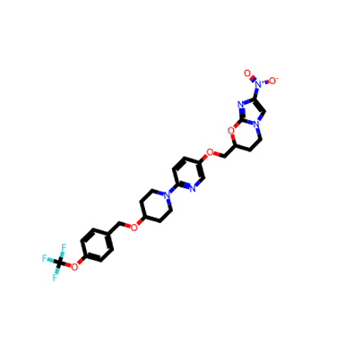 O=[N+]([O-])c1cn2c(n1)OC(COc1ccc(N3CCC(OCc4ccc(OC(F)(F)F)cc4)CC3)nc1)CC2